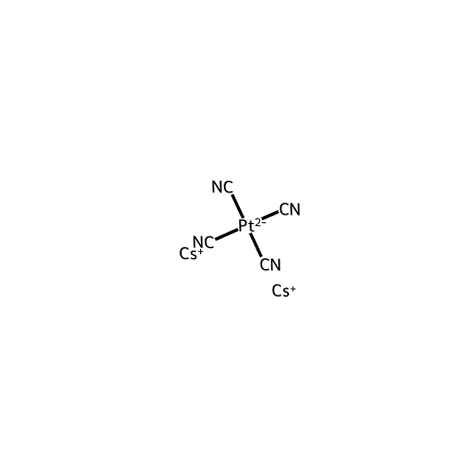 N#[C][Pt-2]([C]#N)([C]#N)[C]#N.[Cs+].[Cs+]